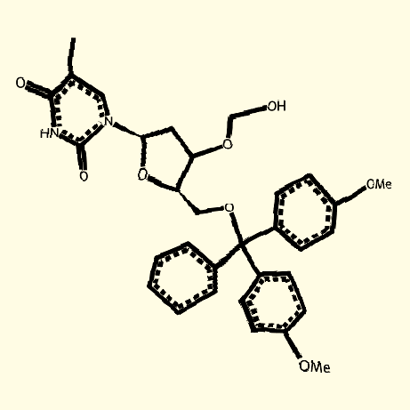 COc1ccc(C(OC[C@H]2O[C@@H](n3cc(C)c(=O)[nH]c3=O)CC2OCO)(c2ccccc2)c2ccc(OC)cc2)cc1